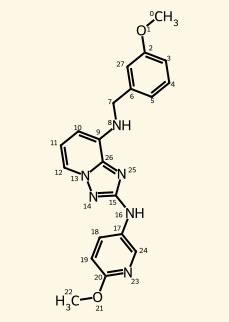 COc1cccc(CNc2cccn3nc(Nc4ccc(OC)nc4)nc23)c1